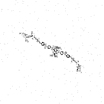 [C-]#[N+]/C(C#N)=C1\Sc2c(OC(=O)[C@H]3CC[C@H](C(=O)Oc4ccc(CCOC(=O)CCC(=O)OCC(C)OC(=O)C=C)cc4)CC3)c(C)c(C)c(OC(=O)[C@H]3CC[C@H](C(=O)Oc4ccc(CCOC(=O)CCC(=O)OC(C)COCC(C)OC(=O)C=C)cc4)CC3)c2S1